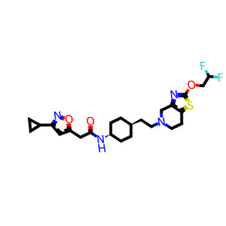 O=C(Cc1cc(C2CC2)no1)N[C@H]1CC[C@H](CCN2CCc3sc(OCC(F)F)nc3C2)CC1